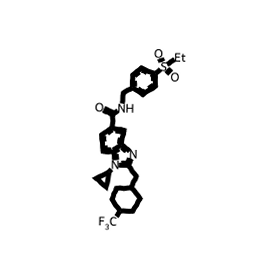 CCS(=O)(=O)c1ccc(CNC(=O)c2ccc3c(c2)nc(CC2CCC(C(F)(F)F)CC2)n3C2CC2)cc1